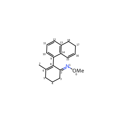 CO/N=C1\CCCC(C)=C1c1cccc2c1C=CCC2